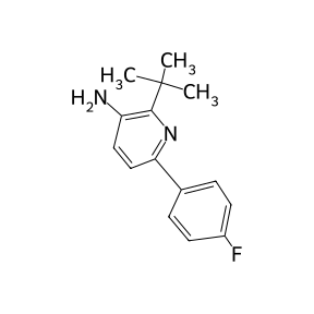 CC(C)(C)c1nc(-c2ccc(F)cc2)ccc1N